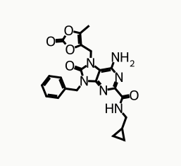 Cc1oc(=O)oc1Cn1c(=O)n(Cc2ccccc2)c2nc(C(=O)NCC3CC3)nc(N)c21